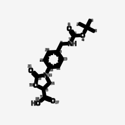 CC(C)(C)OC(=O)NCc1ccc(N2CC(C(=O)O)OC2=O)cc1